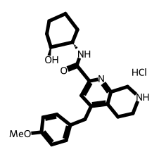 COc1ccc(Cc2cc(C(=O)N[C@H]3CCCC[C@@H]3O)nc3c2CCNC3)cc1.Cl